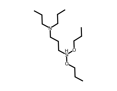 CCCO[SiH](CCCN(CCC)CCC)OCCC